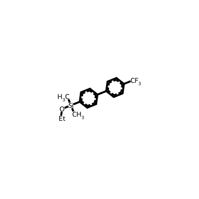 CCO[Si](C)(C)c1ccc(-c2ccc(C(F)(F)F)cc2)cc1